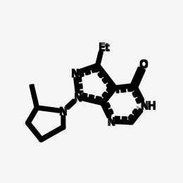 CCc1nn(N2CCCC2C)c2nc[nH]c(=O)c12